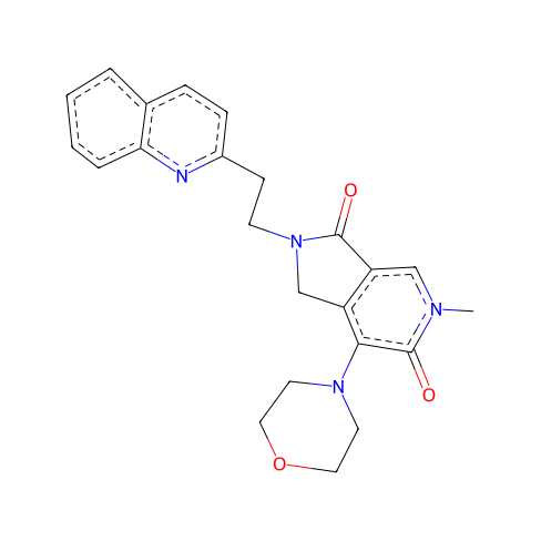 Cn1cc2c(c(N3CCOCC3)c1=O)CN(CCc1ccc3ccccc3n1)C2=O